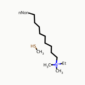 CCCCCCCCCCCCCCCCCC[N+](C)(C)CC.CS